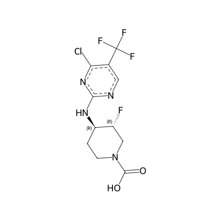 O=C(O)N1CC[C@@H](Nc2ncc(C(F)(F)F)c(Cl)n2)[C@H](F)C1